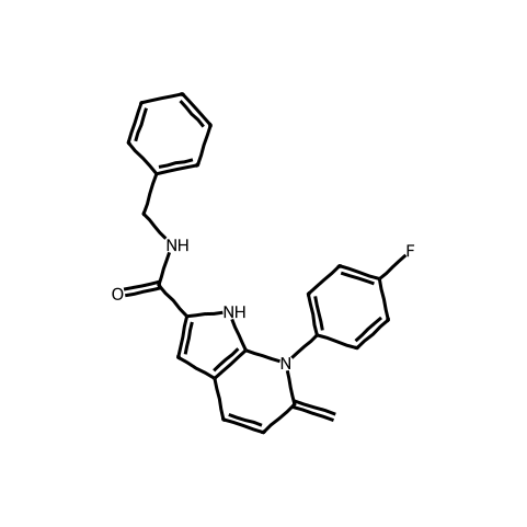 C=C1C=Cc2cc(C(=O)NCc3ccccc3)[nH]c2N1c1ccc(F)cc1